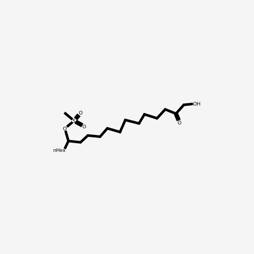 CCCCCCC(CCCCCCCCCCC(=O)CO)OS(C)(=O)=O